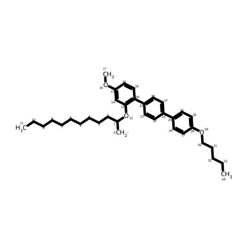 [CH2]C(CCCCCCCCCC)Oc1cc(OC)ccc1-c1ccc(-c2ccc(OCCCCC)cc2)cc1